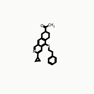 CC(=O)C1CCc2c(cc3cnc(C4CC4)cc3c2SCCc2ccccc2)C1